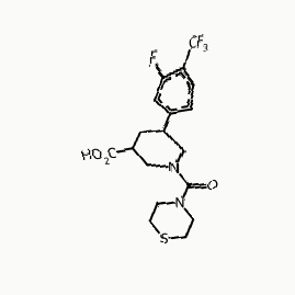 O=C(O)C1CC(c2ccc(C(F)(F)F)c(F)c2)CN(C(=O)N2CCSCC2)C1